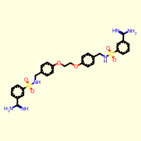 N=C(N)c1cccc(S(=O)(=O)NCc2ccc(OCCOc3ccc(CNS(=O)(=O)c4cccc(C(=N)N)c4)cc3)cc2)c1